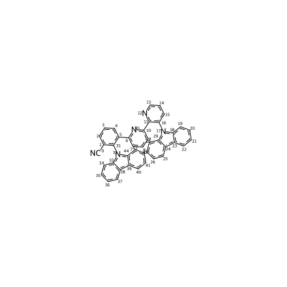 N#Cc1cccc(-c2cccc(-c3ncccc3-n3c4ccccc4c4ccccc43)n2)c1-n1c2ccccc2c2ccccc21